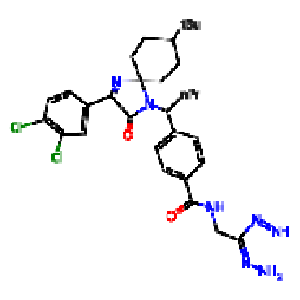 CCCC(c1ccc(C(=O)NC/C(N=N)=N/N)cc1)N1C(=O)C(c2ccc(Cl)c(Cl)c2)=NC12CCC(C(C)(C)C)CC2